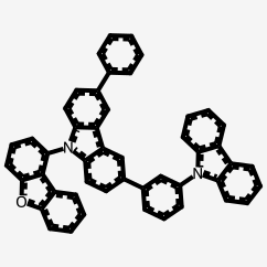 c1ccc(-c2ccc3c(c2)c2cc(-c4cccc(-n5c6ccccc6c6ccccc65)c4)ccc2n3-c2cccc3oc4ccccc4c23)cc1